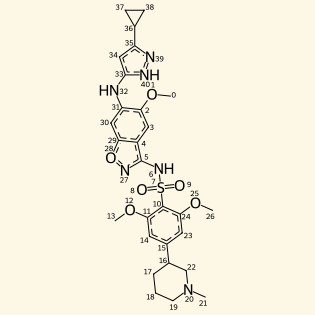 COc1cc2c(NS(=O)(=O)c3c(OC)cc(C4CCCN(C)C4)cc3OC)noc2cc1Nc1cc(C2CC2)n[nH]1